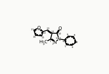 CC1=NN(c2ccccc2)C(=O)/C1=C/c1ccco1